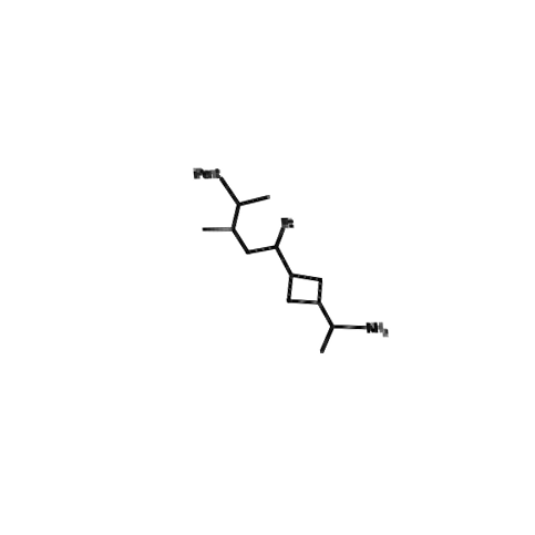 CCCC(C)C(C)C(C)CC(CC)C1CC(C(C)N)C1